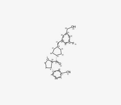 N#Cc1cncc([C@@H]2CCON2C(=O)[C@H]2CC[C@H](Cc3cc(F)cc(CO)c3)CC2)c1